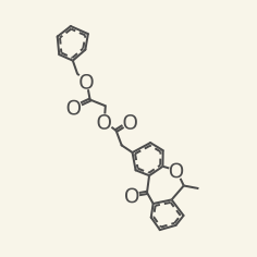 CC1Oc2ccc(CC(=O)OCC(=O)OCc3ccccc3)cc2C(=O)c2ccccc21